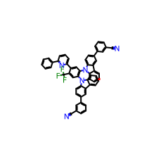 N#Cc1cccc(-c2ccc3c(c2)c2ccccc2n3-c2cc(-c3cccc(-c4ccccc4)n3)c(C(F)(F)F)cc2-n2c3ccccc3c3cc(-c4cccc(C#N)c4)ccc32)c1